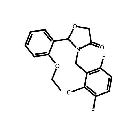 CCOc1ccccc1C1OCC(=O)N1Cc1c(F)ccc(F)c1Cl